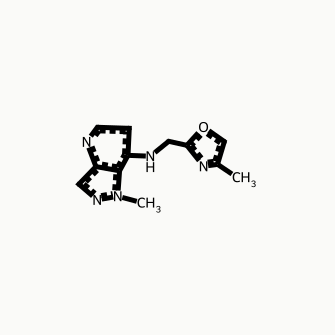 Cc1coc(CNc2ccnc3cnn(C)c23)n1